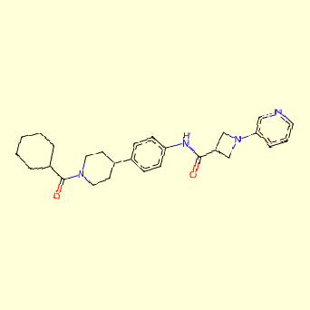 O=C(Nc1ccc(C2CCN(C(=O)C3CCCCC3)CC2)cc1)C1CN(c2cccnc2)C1